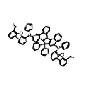 CCc1cccc2c1oc1c(N(c3ccccc3)c3ccc4c5c(c6ccccc6c4c3)-c3c(cc(N(c4ccccc4)c4cccc6c4oc4c(CC)cccc46)c4ccccc34)C5(c3ccccc3)c3ccccc3)cccc12